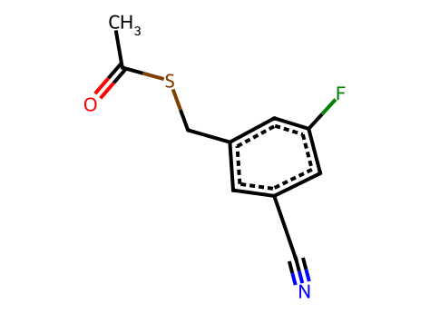 CC(=O)SCc1cc(F)cc(C#N)c1